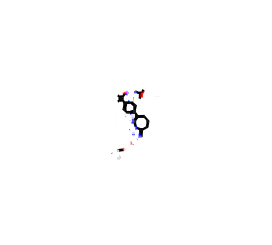 CC(C)(O)CN1C(=O)C(C)(C)c2cc3[nH]c4c(c3cc21)CCCc1cn(COCC[Si](C)(C)C)nc1-4